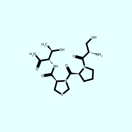 C[C@@H](O)[C@H](NC(=O)[C@@H]1CSCN1C(=O)[C@@H]1CCCN1C(=O)[C@@H](N)CO)C(N)=O